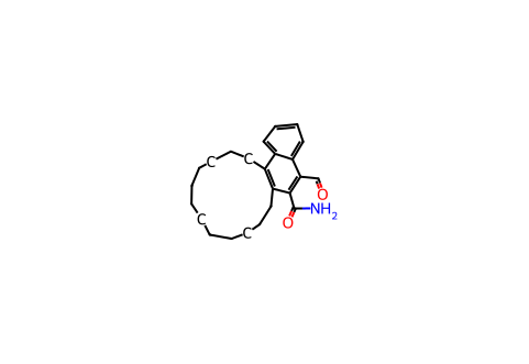 NC(=O)c1c2c(c3ccccc3c1C=O)CCCCCCCCCCCC2